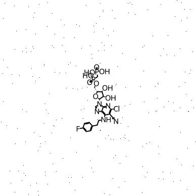 N#Cc1c(Cl)nc2c(ncn2[C@@H]2O[C@H](COP(=O)(O)CP(=O)(O)O)[C@@H](O)[C@H]2O)c1NCCc1ccc(F)cc1